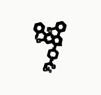 C=CC(=O)N1CCN(c2ncc(-c3ccccc3C(C)C)c3nc(-c4ccccc4F)c(Cl)cc23)CC1